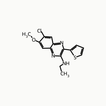 CCNc1nc2cc(OC)c(Cl)cc2nc1-c1cccs1